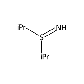 CC(C)S(=N)C(C)C